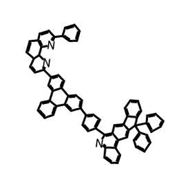 C1=CC2C=Cc3ccc(-c4ccccc4)nc3C2N=C1c1ccc2c3ccc(-c4ccc(-c5nc6ccccc6c6cc7c(cc56)-c5ccccc5C7(c5ccccc5)c5ccccc5)cc4)cc3c3ccccc3c2c1